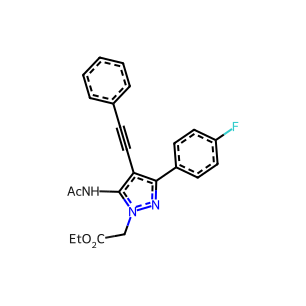 CCOC(=O)Cn1nc(-c2ccc(F)cc2)c(C#Cc2ccccc2)c1NC(C)=O